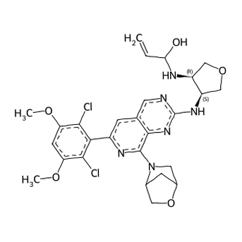 C=CC(O)N[C@H]1COC[C@H]1Nc1ncc2cc(-c3c(Cl)c(OC)cc(OC)c3Cl)nc(N3CC4CC3CO4)c2n1